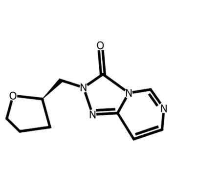 O=c1n(C[C@H]2CCCO2)nc2ccncn12